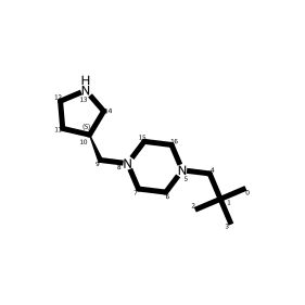 CC(C)(C)CN1CCN(C[C@H]2CCNC2)CC1